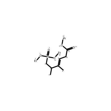 CCOP(=O)(CC(C)C(C)=CCC(=O)OC(C)C)OCC